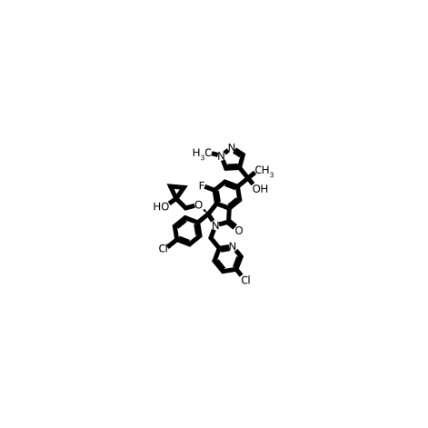 Cn1cc(C(C)(O)c2cc(F)c3c(c2)C(=O)N(Cc2ccc(Cl)cn2)[C@@]3(OCC2(O)CC2)c2ccc(Cl)cc2)cn1